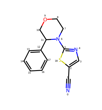 N#Cc1cnc(N2CCOCC2c2ccccc2)s1